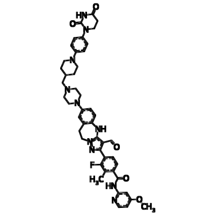 COc1ccnc(NC(=O)c2ccc(-c3nn4c(c3C=O)Nc3ccc(N5CCN(CC6CCN(c7ccc(N8CCC(=O)NC8=O)cc7)CC6)CC5)cc3CC4)c(F)c2C)c1